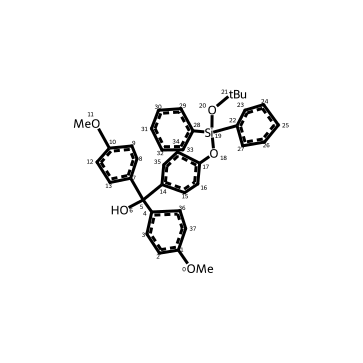 COc1ccc(C(O)(c2ccc(OC)cc2)c2ccc(O[Si](OC(C)(C)C)(c3ccccc3)c3ccccc3)cc2)cc1